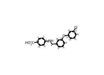 O=C(O)c1ccc(NCc2cccc(Oc3cccc(Cl)c3)c2)cc1